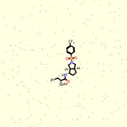 CN[C@@H](CC(C)C)C(=O)N[C@H]1CC[C@@H]2CN(S(=O)(=O)c3ccc(C(F)(F)F)cc3)C[C@@H]21